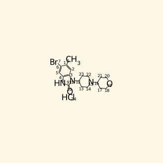 Cc1cc2c(cc1Br)[nH]c(=O)n2C1CCN(C2CCOCC2)CC1.Cl